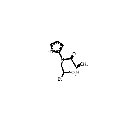 C=CC(=O)N(CC(CC)S(=O)(=O)O)c1ccc[nH]1